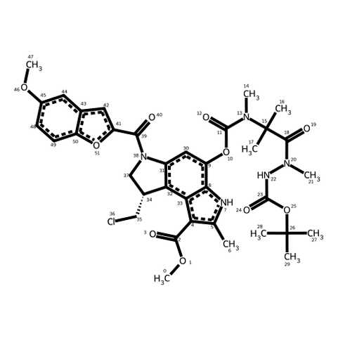 COC(=O)c1c(C)[nH]c2c(OC(=O)N(C)C(C)(C)C(=O)N(C)NC(=O)OC(C)(C)C)cc3c(c12)[C@H](CCl)CN3C(=O)c1cc2cc(OC)ccc2o1